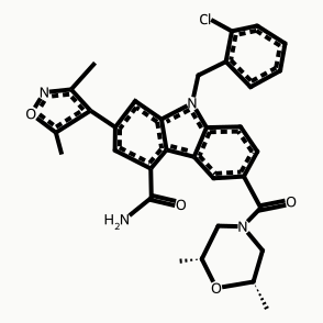 Cc1noc(C)c1-c1cc(C(N)=O)c2c3cc(C(=O)N4C[C@@H](C)O[C@@H](C)C4)ccc3n(Cc3ccccc3Cl)c2c1